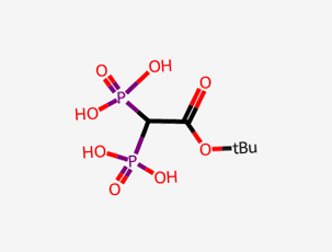 CC(C)(C)OC(=O)C(P(=O)(O)O)P(=O)(O)O